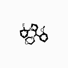 COc1ccccc1C(c1cccn1-c1ccccc1F)N1CCOCC1